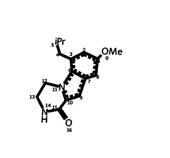 COc1cc(CC(C)C)c2c(c1)cc1n2CCNC1=O